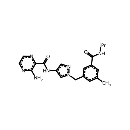 Cc1cc(Cn2cc(NC(=O)c3nccnc3N)cn2)cc(C(=O)NC(C)C)c1